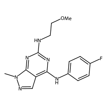 COCCNc1nc(Nc2ccc(F)cc2)c2cnn(C)c2n1